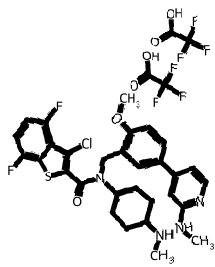 CNc1cc(-c2ccc(OC)c(CN(C(=O)c3sc4c(F)ccc(F)c4c3Cl)C3CCC(NC)CC3)c2)ccn1.O=C(O)C(F)(F)F.O=C(O)C(F)(F)F